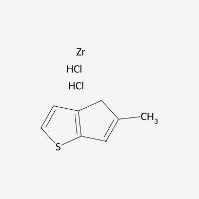 CC1=Cc2sccc2C1.Cl.Cl.[Zr]